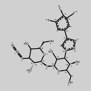 [N-]=[N+]=NC1C(O)[C@@H](CO)O[C@@H](S[C@@H]2OC(CO)[C@H](O)C(n3cc(-c4cc(F)c(F)c(F)c4)nn3)C2O)[C@@H]1O